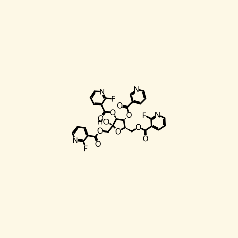 O=C(O[C@@H]1[C@@H](COC(=O)c2cccnc2F)O[C@](O)(COC(=O)c2cccnc2F)[C@H]1OC(=O)c1cccnc1F)c1cccnc1